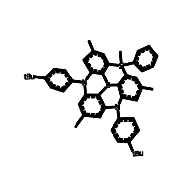 Cc1cc2c3c(c1)N(c1ccc(C(C)(C)C)cc1)c1cc(C)cc4c1B3c1c(cc(C)cc1[Si]4(C)c1ccccc1)N2c1ccc(C(C)(C)C)cc1